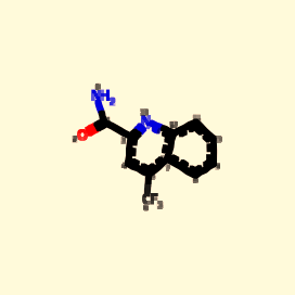 NC(=O)c1cc(C(F)(F)F)c2ccccc2n1